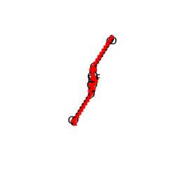 C=C(C)C(=O)OCCCCCCCCCCCCCCCOc1ccc(C(=O)Oc2cc(F)c(OC(=O)c3ccc(OCCCCCCCCCCCCCCCOC(=O)C(=C)C)cc3)c(F)c2F)cc1